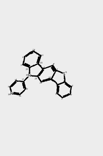 c1ccc2c(c1)sc1cc3c4ccccc4n(-c4ccncc4)c3cc12